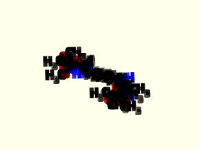 COC(=O)N[C@H](C(=O)N[C@@H](CC1CC1)c1nc(-c2ccc(-c3ccc(-c4c[nH]c([C@@H]5CC(C)C(C)N5C(=O)[C@@H](NC(=O)OC)C5C[C@@H](C)O[C@H](C)C5)n4)cc3)cc2)c[nH]1)C1C[C@@H](C)O[C@H](C)C1